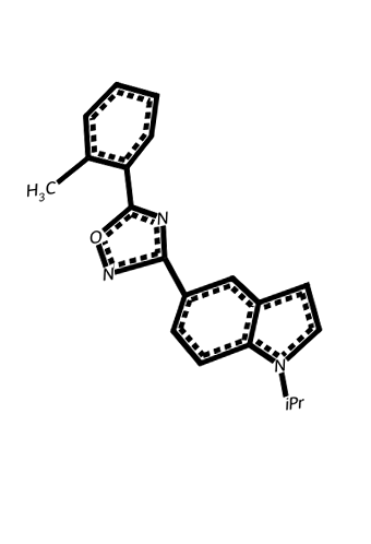 Cc1ccccc1-c1nc(-c2ccc3c(ccn3C(C)C)c2)no1